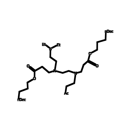 CCCCCCCCCCCCCOC(=O)CCN(CCC(C)=O)CCN(CCC(=O)OCCCCCCCCCCCCC)CCN(CC)CC